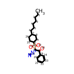 CCCCCCCC1CCC(S(=O)(=O)C(=[N+]=[N-])C(=O)c2ccccc2)CC1